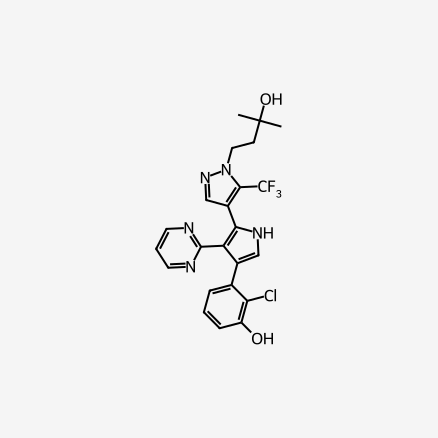 CC(C)(O)CCn1ncc(-c2[nH]cc(-c3cccc(O)c3Cl)c2-c2ncccn2)c1C(F)(F)F